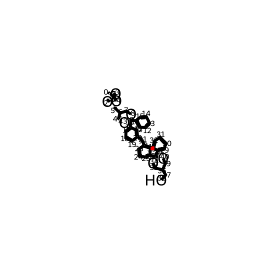 CS(=O)(=O)OCC1COC(c2ccccc2)(c2cccc(Cc3cccc(C4(c5ccccc5)OCC(CO)CO4)c3)c2)OC1